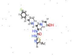 CC(=O)c1sc(NC(=O)N[C@@H]2CCN(C[C@H](C)CO)C[C@H]2CN2CCC[C@@H](Cc3ccc(F)cc3)C2)nc1C